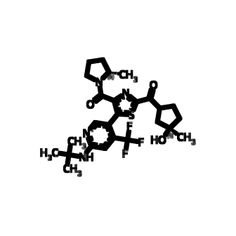 C[C@H]1CCCN1C(=O)c1nc(C(=O)C2CC[C@](C)(O)C2)sc1-c1cnc(NC(C)(C)C)cc1C(F)(F)F